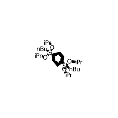 CCCC[Si](OC(C)C)(OC(C)C)c1ccc([Si](CCCC)(OC(C)C)OC(C)C)cc1